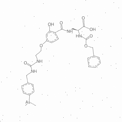 C[As](C)c1ccc(CNC(=O)NCCOc2ccc(C(=O)NC[C@H](NC(=O)OCc3ccccc3)C(=O)O)c(O)c2)cc1